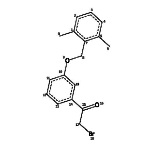 Cc1cccc(C)c1COc1cccc(C(=O)CBr)c1